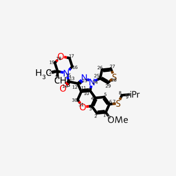 COc1cc2c(cc1SCC(C)C)-c1c(c(C(=O)N3CCOCC3(C)C)nn1-c1ccsc1)CO2